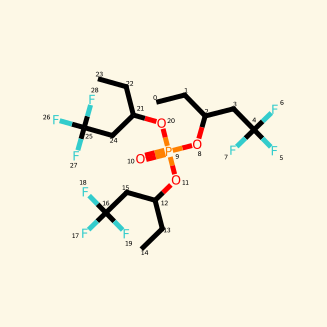 CCC(CC(F)(F)F)OP(=O)(OC(CC)CC(F)(F)F)OC(CC)CC(F)(F)F